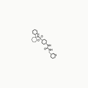 O=C(NCc1cccnc1)Nc1ccc(S(=O)(=O)NC2(c3ccccc3)CCCCC2)cc1